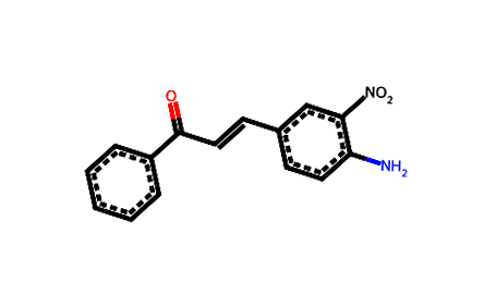 Nc1ccc(/C=C/C(=O)c2ccccc2)cc1[N+](=O)[O-]